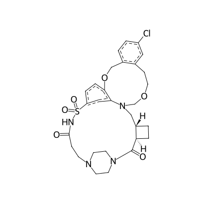 O=C1CCN2CCN(CC2)C(=O)[C@@H]2CC[C@H]2CN2COCCc3cc(Cl)ccc3COc3ccc(cc32)S(=O)(=O)N1